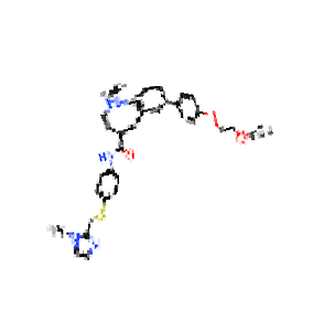 CCCCOCCOc1ccc(-c2ccc3c(c2)C=C(C(=O)Nc2ccc(SCc4nccn4CCC)cc2)CCN3CCC)cc1